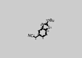 CCCCc1nc2cc(CC#N)ccc2s1